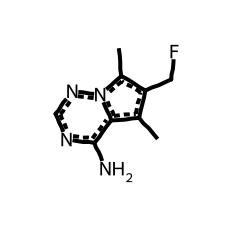 Cc1c(CF)c(C)n2ncnc(N)c12